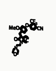 COc1cc(Oc2ccc(C#N)cc2C(F)(F)F)ccc1C=C1C(=O)N(CCN2CCOCC2)c2ccccc21